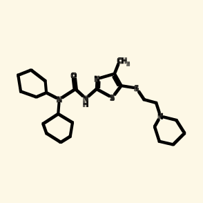 Cc1nc(NC(=O)N(C2CCCCC2)C2CCCCC2)sc1SCCN1CCCCC1